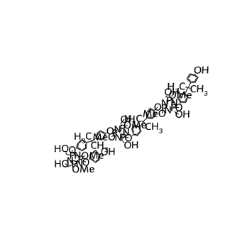 COP1(CO)=NP(CO)(Oc2ccc(C(C)(C)c3ccc(OP4(OC)=NP(CO)(OC)=NP(CO)(Oc5ccc(C(C)(C)c6ccc(OP7(OC)=NP(CO)(OC)=NP(CO)(Oc8ccc(C(C)(C)c9ccc(O)cc9)cc8)=N7)cc6)cc5)=N4)cc3)cc2)=NP(OC)(Oc2ccc(O)cc2)=N1